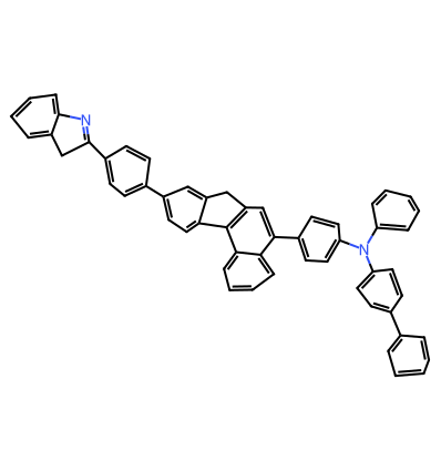 c1ccc(-c2ccc(N(c3ccccc3)c3ccc(-c4cc5c(c6ccccc46)-c4ccc(-c6ccc(C7=Nc8ccccc8C7)cc6)cc4C5)cc3)cc2)cc1